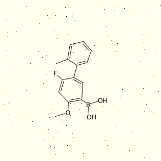 COc1cc(F)c(-c2ccccc2C)cc1B(O)O